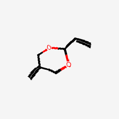 C=CC1OCC(=C)CO1